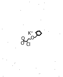 O=C([O-])C(Cl)CCOCc1ccccc1.[K+]